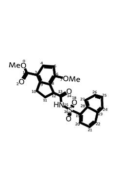 COC(=O)c1ccc(OC)c2c1CCC2C(=O)NS(=O)(=O)c1cccc2ccccc12